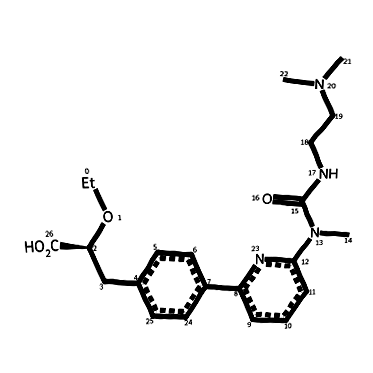 CCO[C@@H](Cc1ccc(-c2cccc(N(C)C(=O)NCCN(C)C)n2)cc1)C(=O)O